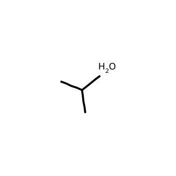 CC(C)C.O